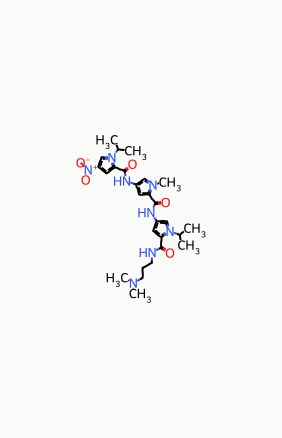 CC(C)n1cc(NC(=O)c2cc(NC(=O)c3cc([N+](=O)[O-])cn3C(C)C)cn2C)cc1C(=O)NCCCN(C)C